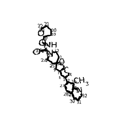 Cc1c(-c2ccc3c(c2)CC2(CCN(C(=O)NOC4CCCCO4)CC2)O3)ccc2cccnc12